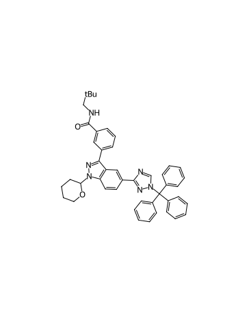 CC(C)(C)CNC(=O)c1cccc(-c2nn(C3CCCCO3)c3ccc(-c4ncn(C(c5ccccc5)(c5ccccc5)c5ccccc5)n4)cc23)c1